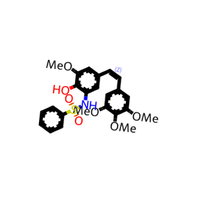 COc1cc(/C=C\c2cc(OC)c(OC)c(OC)c2)cc(NS(=O)(=O)c2ccccc2)c1O